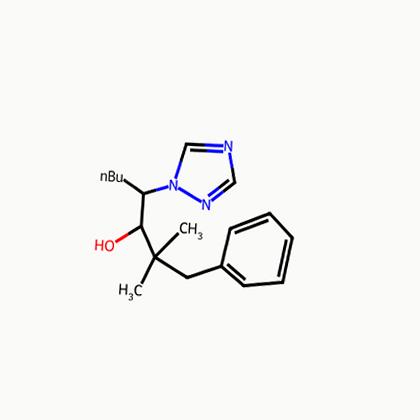 CCCCC(C(O)C(C)(C)Cc1ccccc1)n1cncn1